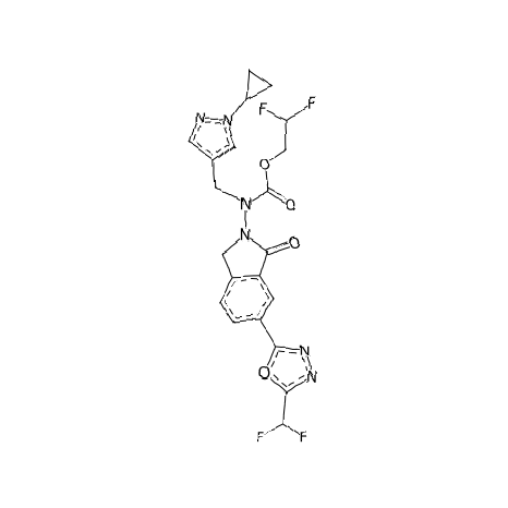 O=C(OCC(F)F)N(Cc1cnn(C2CC2)c1)N1Cc2ccc(-c3nnc(C(F)F)o3)cc2C1=O